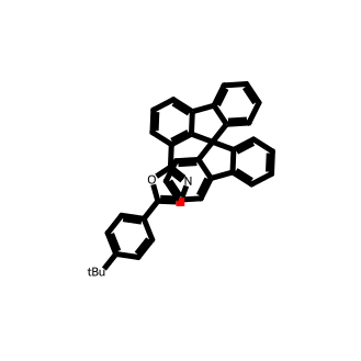 CC(C)(C)c1ccc(-c2nnc(-c3cccc4c3C3(c5ccccc5-c5ccccc53)c3ccccc3-4)o2)cc1